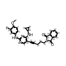 COc1ccc(Nc2ncc(C#CCCCN3C(=O)c4ccccc4C3=O)c(NC3CC3)n2)cc1F